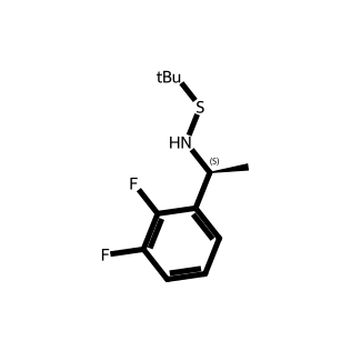 C[C@H](NSC(C)(C)C)c1cccc(F)c1F